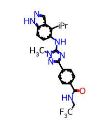 CC(C)c1c(Nc2nc(-c3ccc(C(=O)NCC(F)(F)F)cc3)nn2C)ccc2[nH]ncc12